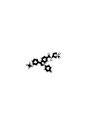 O=C(NC1CCS(=O)(=O)C1)c1ccc2c(-c3cccc(OC(F)(F)F)c3)cn(-c3ccc(F)cc3)c2c1